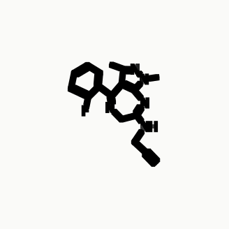 C#CCNC1=Nc2c(c(C)nn2C)C(c2ccccc2F)=NC1